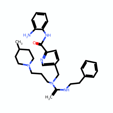 C=C(NCCc1ccccc1)N(CCCN1CCC(C)CC1)Cc1ccc(C(=O)Nc2ccccc2N)nc1